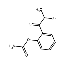 CC(Br)C(=O)c1ccccc1OC(N)=O